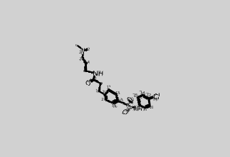 CN(C)CCCNC(=O)CCc1ccc(S(=O)(=O)Nc2ccc(Cl)cc2)cc1